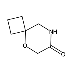 O=C1COC2(CCC2)CN1